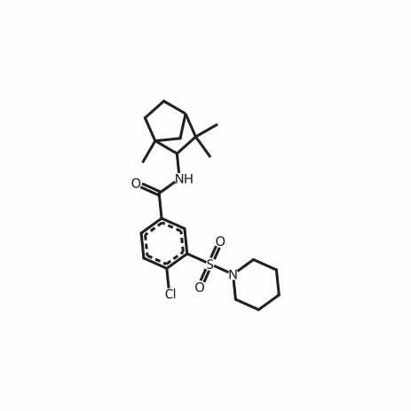 CC12CCC(C1)C(C)(C)C2NC(=O)c1ccc(Cl)c(S(=O)(=O)N2CCCCC2)c1